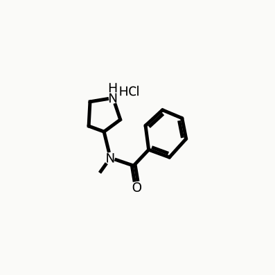 CN(C(=O)c1ccccc1)C1CCNC1.Cl